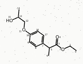 CCOC(=O)C(C)c1ccc(OCC(C)O)cc1